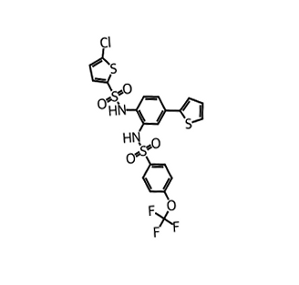 O=S(=O)(Nc1cc(-c2cccs2)ccc1NS(=O)(=O)c1ccc(Cl)s1)c1ccc(OC(F)(F)F)cc1